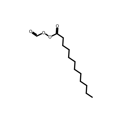 CCCCCCCCCCCC(=O)OOC=O